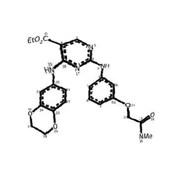 CCOC(=O)c1cnc(Nc2cccc(OCC(=O)NC)c2)nc1Nc1ccc2c(c1)OCCO2